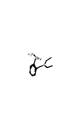 CCN(CC)c1ccccc1NN